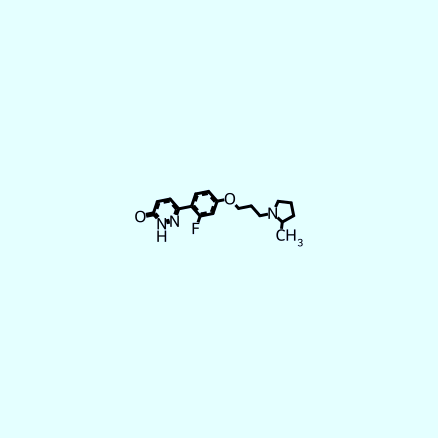 CC1CCCN1CCCOc1ccc(-c2ccc(=O)[nH]n2)c(F)c1